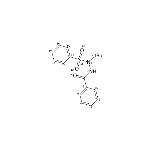 CC(C)(C)N(NC(=O)c1ccccc1)S(=O)(=O)c1ccccc1